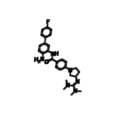 CN(C)C(=NC1CCN(c2ccc(C(=O)Nc3cc(-c4ccc(F)cc4)ccc3N)cc2)C1)N(C)C